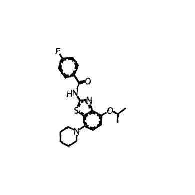 CC(C)Oc1ccc(N2CCCCC2)c2sc(NC(=O)c3ccc(F)cc3)nc12